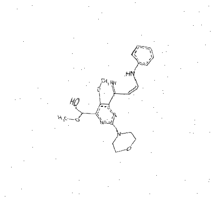 COc1c(C(=N)/C=C\Nc2ccccc2)nc(N2CCOCC2)nc1C(O)OC